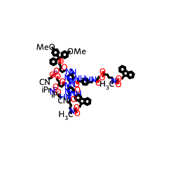 COc1ccc(C(OCC2OC(n3cnc4c(NC(=O)c5ccc(CNC(=O)COC(=O)CCCN(C)C(=O)OCC6c7ccccc7-c7ccccc76)cc5)ncnc43)CC2OP(OCCC#N)OCC2OC(n3cnc4c(=O)[nH]c(NC(=O)CCCN(C)C(=O)OCC5c6ccccc6-c6ccccc65)nc43)CC2OP(OCCC#N)N(C(C)C)C(C)C)(c2ccccc2)c2ccc(OC)cc2)cc1